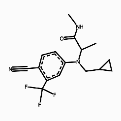 CNC(=O)C(C)N(CC1CC1)c1ccc(C#N)c(C(F)(F)F)c1